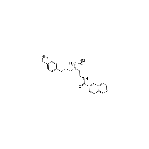 CN(CCCc1ccc(CN)cc1)CCNC(=O)c1ccc2ccccc2c1.Cl.Cl